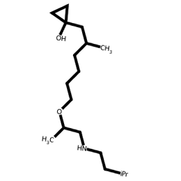 CC(C)CCNCC(C)OCCCCC(C)CC1(O)CC1